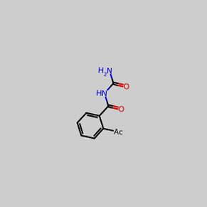 CC(=O)c1ccccc1C(=O)NC(N)=O